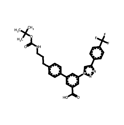 CC(C)(C)OC(=O)NCCCc1ccc(-c2cc(C(=O)O)cc(-n3cc(-c4ccc(C(F)(F)F)cc4)nn3)c2)cc1